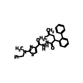 C=C(C)CC(C(=O)NNC(=O)c1csc(N(C)CC(C)C)n1)c1ccccc1-c1ccccc1